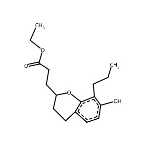 CCCc1c(O)ccc2c1OC(CCC(=O)OCC)CC2